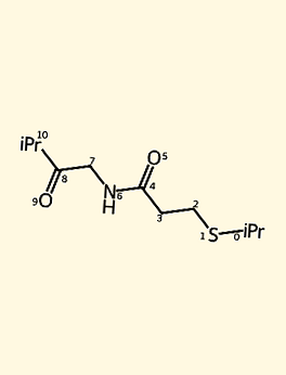 CC(C)SCCC(=O)NCC(=O)C(C)C